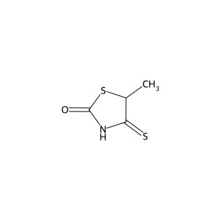 CC1SC(=O)NC1=S